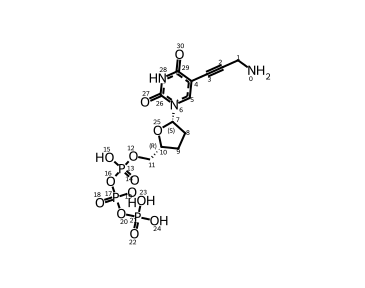 NCC#Cc1cn([C@@H]2CC[C@H](COP(=O)(O)OP(=O)(O)OP(=O)(O)O)O2)c(=O)[nH]c1=O